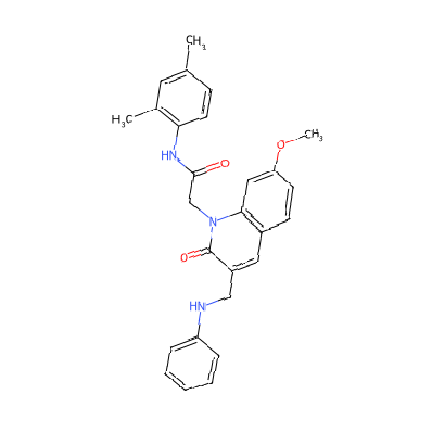 COc1ccc2cc(CNc3ccccc3)c(=O)n(CC(=O)Nc3ccc(C)cc3C)c2c1